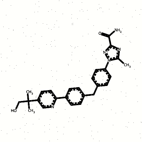 Cc1nc(C(N)=O)nn1-c1ccc(Cc2ccc(-c3ccc(C(C)(C)CO)cn3)cc2)cc1